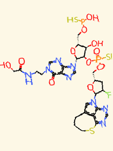 O=C(CO)NCCn1cnc2c(ncn2[C@@H]2O[C@H](COP(O)S)[C@@H](O)[C@H]2OP(=O)(S)OC[C@@H]2C[C@@H](F)C(n3cc4c5c(ncnc53)SCCC4)O2)c1=O